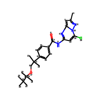 Cc1cc2nc(NC(=O)c3ccc(C(C)(C)CO[Si](C)(C)C(C)(C)C)cc3)cc(Cl)n2n1